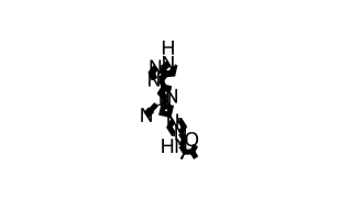 CC(C)[C@@H](C)NC(=O)N1CCN([C@H]2C[C@@](CC#N)(n3cc(-c4ncnc5[nH]ccc45)cn3)C2)CC1